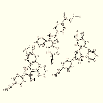 CCOC(=O)c1ccc(-c2nc(-c3ccc(F)cc3)c(-c3ccccn3)[nH]2)cc1.N#Cc1ccc(-c2nc(-c3ccc4c(c3)OCO4)c(-c3ccccn3)[nH]2)cc1.N#Cc1ccc(-c2nc(-c3ccc4c(c3)OCO4)c(-c3ccccn3)n2O)cc1